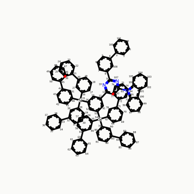 c1ccc(-c2cccc(-c3nc(-c4cc([Si](c5cccc(-c6ccccc6)c5)(c5cccc(-c6ccccc6)c5)c5cccc(-c6ccccc6)c5)cc([Si](c5cccc(-c6ccccc6)c5)(c5cccc(-c6ccccc6)c5)c5cccc(-c6ccccc6)c5)c4)cc(-n4c5ccccc5c5ccccc54)n3)c2)cc1